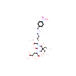 CCC1(CC)C(=O)N(C(CCC(=O)O)C(=O)O)C(=O)N([C@@H](CCCCNCc2ccc([N+](=O)[O-])cc2)C(=O)O)C1=O